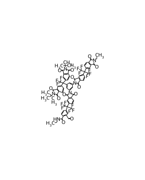 CCNC(=O)c1ccc(C(c2ccc3c(c2)C(=O)N(c2cc(N4C(=O)c5ccc(C(c6ccc7c(c6)C(=O)N(CC)C7=O)(C(F)(F)F)C(F)(F)F)cc5C4=O)cc(C(c4ccc5c(c4)C(=O)N(C(C)(C)C)C5=O)(c4ccc5c(c4)C(=O)N(C(C)(C)C)C5=O)C(F)(F)F)c2)C3=O)(C(F)(F)F)C(F)(F)F)cc1C=O